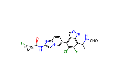 CC(NC=O)c1c(F)c(Cl)c(-c2ccc3nc(NC(=O)[C@@H]4C[C@@H]4F)cn3c2)c2cn[nH]c12